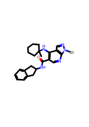 CCn1ncc2c(NC3(C)CCCCC3)c(C(=O)NC3Cc4ccccc4C3)cnc21